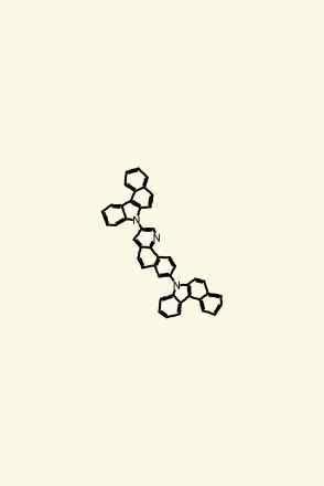 c1ccc2c(c1)ccc1c2c2ccccc2n1-c1ccc2c(ccc3cc(-n4c5ccccc5c5c6ccccc6ccc54)cnc32)c1